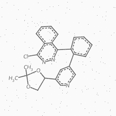 CC1(C)OCC(c2cncc(-c3ccccc3-c3nnc(Cl)c4ccccc34)c2)O1